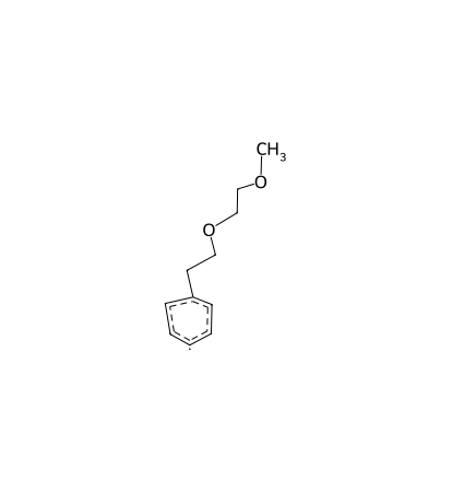 COCCOCCc1cc[c]cc1